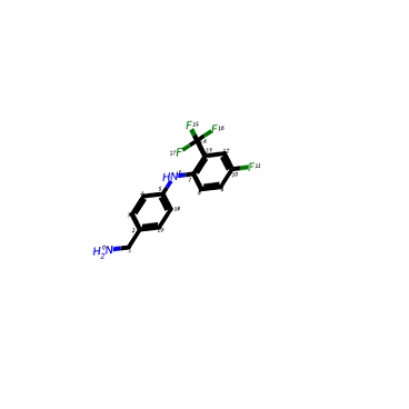 NCc1ccc(Nc2ccc(F)cc2C(F)(F)F)cc1